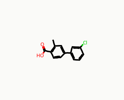 Cc1cc(-c2cccc(Cl)c2)ccc1C(=O)O